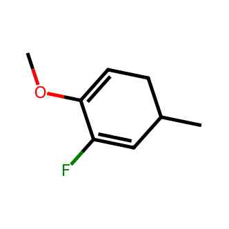 COC1=CCC(C)C=C1F